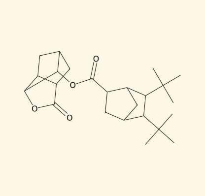 CC(C)(C)C1C2CC(C(=O)OC3C4CC5C(=O)OC3C5C4)C(C2)C1C(C)(C)C